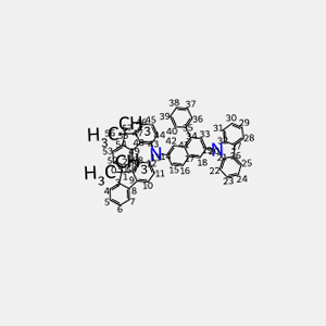 CC1(C)c2ccccc2-c2ccc(N(c3ccc4cc(-n5c6ccccc6c6ccccc65)cc(-c5ccccc5)c4c3)c3cccc4c3-c3ccccc3C4(C)C)cc21